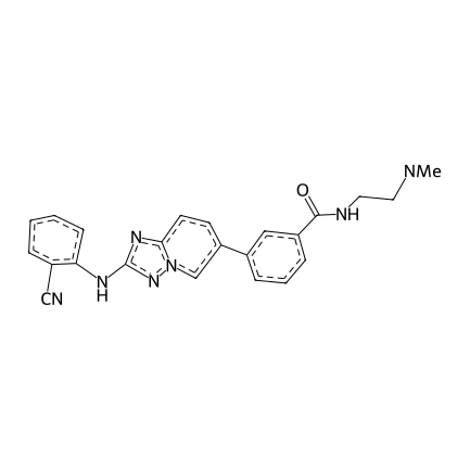 CNCCNC(=O)c1cccc(-c2ccc3nc(Nc4ccccc4C#N)nn3c2)c1